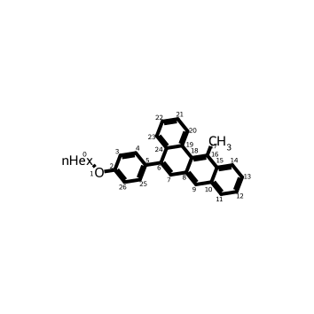 CCCCCCOc1ccc(-c2cc3cc4ccccc4c(C)c3c3ccccc23)cc1